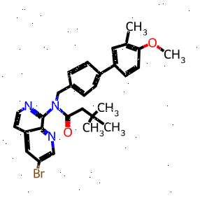 COc1ccc(-c2ccc(CN(C(=O)CC(C)(C)C)c3nccc4cc(Br)cnc34)cc2)cc1C